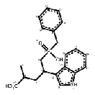 CC(CC(CP(=O)(O)Cc1ccccc1)c1c[nH]c2ccccc12)C(=O)O